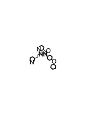 O=C(Nc1ccc(Oc2ccccc2)cc1)c1cccnc1NCCc1cccnc1